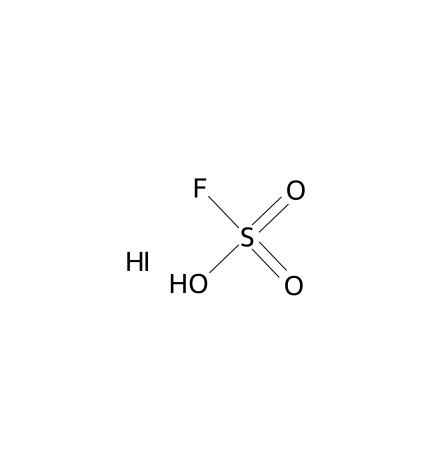 I.O=S(=O)(O)F